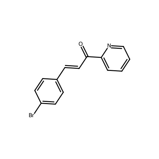 O=C(C=Cc1ccc(Br)cc1)c1ccccn1